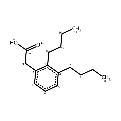 CCCCc1cccc(CC(=O)O)c1CCCC